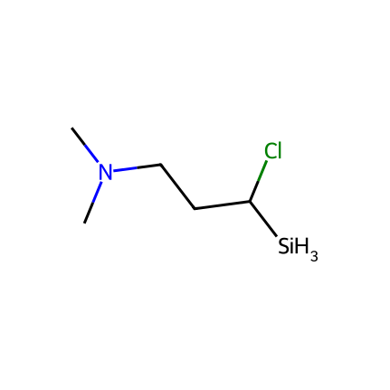 CN(C)CCC([SiH3])Cl